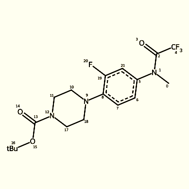 CN(C(=O)C(F)(F)F)c1ccc(N2CCN(C(=O)OC(C)(C)C)CC2)c(F)c1